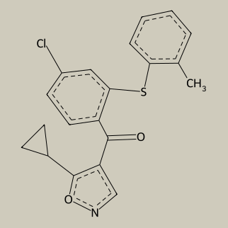 Cc1ccccc1Sc1cc(Cl)ccc1C(=O)c1cnoc1C1CC1